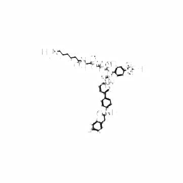 COc1cc(S(C)(=O)=O)ccc1N(C(=O)OCOC(=O)CNC(=O)CCCCCN)c1nc2ccc(-c3ccc(NC(=O)Cc4ccc(F)cc4)cc3)cn2n1